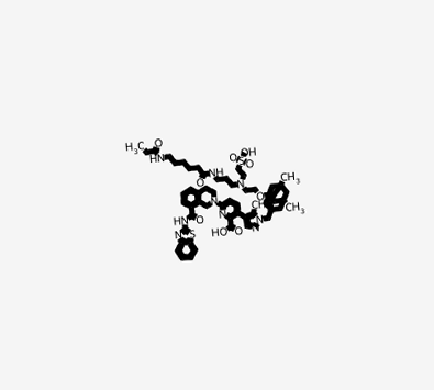 CCC(=O)NCCCCCC(=O)NCCCN(CCOC12CC3(C)CC(C)(CC(Cn4ncc(-c5ccc(N6CCc7cccc(C(=O)Nc8nc9ccccc9s8)c7C6)nc5C(=O)O)c4C)(C3)C1)C2)CCS(=O)(=O)O